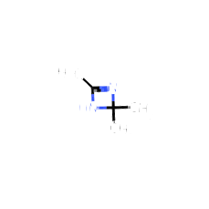 CC1=NC(C)(C)N1